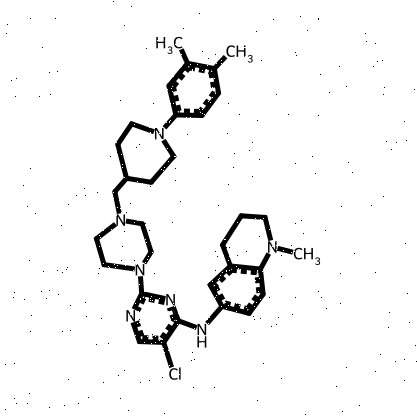 Cc1ccc(N2CCC(CN3CCN(c4ncc(Cl)c(Nc5ccc6c(c5)CCCN6C)n4)CC3)CC2)cc1C